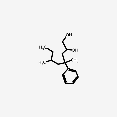 CCC(C)CC(C)(CC(O)CO)c1ccccc1